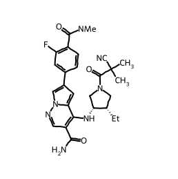 CC[C@H]1CN(C(=O)C(C)(C)C#N)C[C@H]1Nc1c(C(N)=O)cnn2cc(-c3ccc(C(=O)NC)c(F)c3)cc12